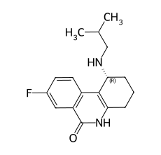 CC(C)CN[C@@H]1CCCc2[nH]c(=O)c3cc(F)ccc3c21